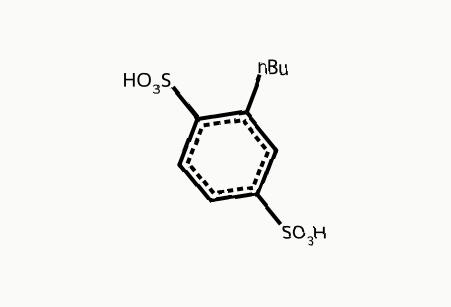 CCCCc1cc(S(=O)(=O)O)ccc1S(=O)(=O)O